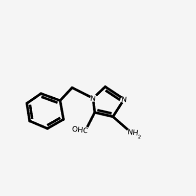 Nc1ncn(Cc2ccccc2)c1C=O